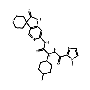 CC1CCC([C@H](NC(=O)c2nccn2C)C(=O)Nc2cc3c(cn2)C2(CCOCC2)C(=O)N3)CC1